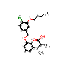 CCCCOc1cc(COc2cccc([C@@H](C)C(C)C(=O)O)c2)ccc1Br